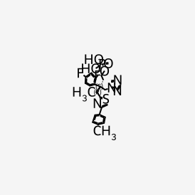 Cc1ccc(-c2csc([C@H](C)[C@](CCOP(=O)(O)O)(Cn3cncn3)c3ccc(F)cc3F)n2)cc1